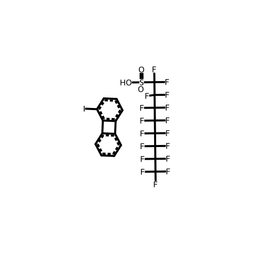 Ic1cccc2c1-c1ccccc1-2.O=S(=O)(O)C(F)(F)C(F)(F)C(F)(F)C(F)(F)C(F)(F)C(F)(F)C(F)(F)C(F)(F)F